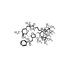 C=C1[C@H](C)C[C@@H](CC(C)(C)C(=O)OCCC)O[C@@H]1C[C@@H]1O[C@H](C[C@@H](CO[Si](C)(C)C(C)(C)C)O[Si](C)(C)C(C)(C)C)[C@H](OC)[C@H]1CS(=O)(=O)c1ccccc1